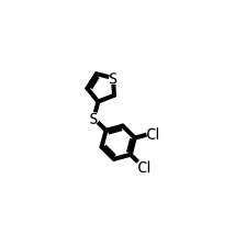 Clc1ccc(SC2C=CSC2)cc1Cl